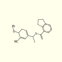 C=C(SC(I)C1=CCC(OC(C)C)C(C#N)=C1)c1cccc2c1CCC2